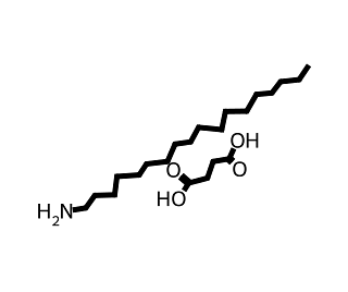 CCCCCCCCCCCCCCCCCCN.O=C(O)CCC(=O)O